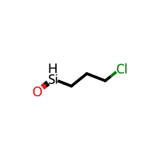 O=[SiH]CCCCl